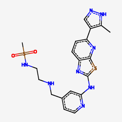 Cc1[nH]ncc1-c1ccc2nc(Nc3cc(CNCCNS(C)(=O)=O)ccn3)sc2n1